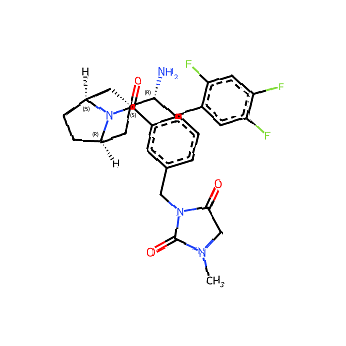 CN1CC(=O)N(Cc2cccc(C(=O)N3[C@@H]4CC[C@H]3C[C@H]([C@H](N)Cc3cc(F)c(F)cc3F)C4)c2)C1=O